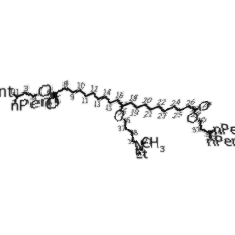 CCCCCC(CCCCC)CCOC(=O)CCCCCCCCCC(CCCCCCCCCC(=O)OCCC(CCCCC)CCCCC)OCCCCN(C)CC